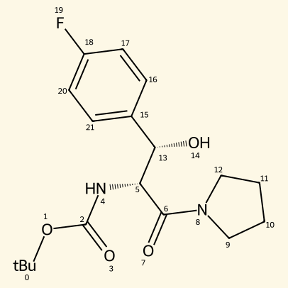 CC(C)(C)OC(=O)N[C@@H](C(=O)N1CCCC1)[C@@H](O)c1ccc(F)cc1